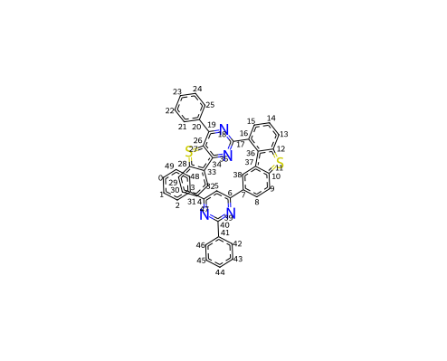 c1ccc(-c2cc(-c3ccc4sc5cccc(-c6nc(-c7ccccc7)c7sc8ccccc8c7n6)c5c4c3)nc(-c3ccccc3)n2)cc1